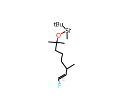 CC(/C=C/F)CCCC(C)(C)O[Si](C)(C)C(C)(C)C